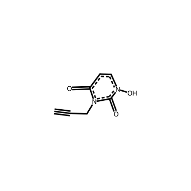 C#CCn1c(=O)ccn(O)c1=O